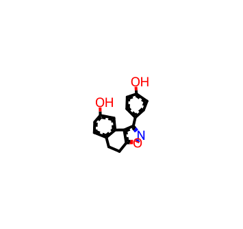 Oc1ccc(-c2noc3c2-c2cc(O)ccc2CC3)cc1